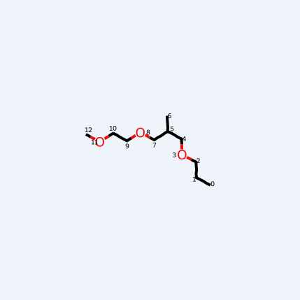 CCCOCC(C)COCCOC